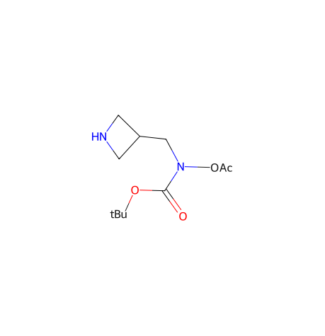 CC(=O)ON(CC1CNC1)C(=O)OC(C)(C)C